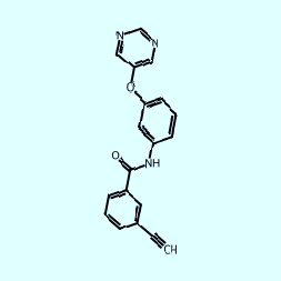 C#Cc1cccc(C(=O)Nc2cccc(Oc3cncnc3)c2)c1